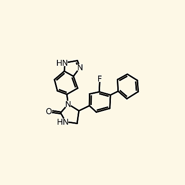 O=C1NCC(c2ccc(-c3ccccc3)c(F)c2)N1c1ccc2[nH]cnc2c1